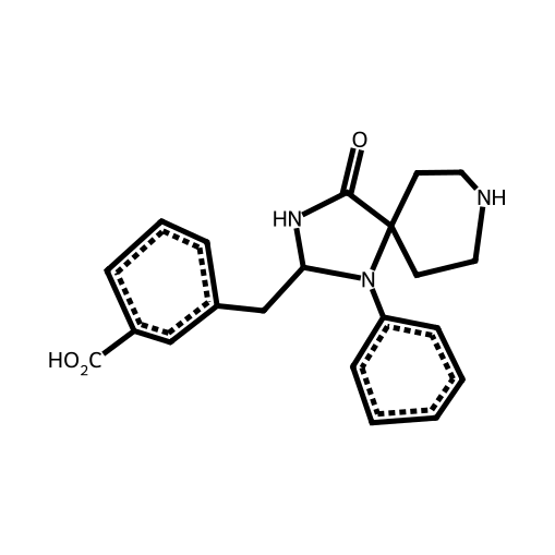 O=C(O)c1cccc(CC2NC(=O)C3(CCNCC3)N2c2ccccc2)c1